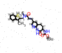 Cc1c(CN(C)C(=O)/C=C/c2cnc3c(c2)CC[C@H](NC(=O)OC(C)(C)C)C(=O)N3)sc2ccccc12